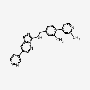 Cc1cc(-c2ccc(CNc3ncc4cc(-c5ccnnc5)cnn34)cc2C)ccn1